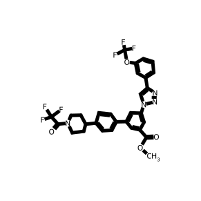 COC(=O)c1cc(-c2ccc(C3CCN(C(=O)C(F)(F)F)CC3)cc2)cc(-n2cc(-c3cccc(OC(F)(F)F)c3)nn2)c1